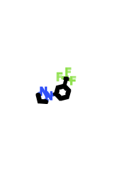 FC(F)(F)c1cccc(-n2cccn2)c1